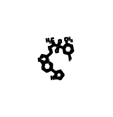 Cc1ccc(F)cc1S(=O)(=O)N(C)/N=C/c1cnc2ccc(-c3ccc[nH]3)cn12